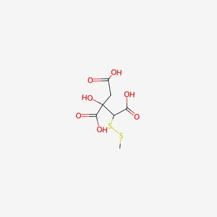 CSSC(C(=O)O)C(O)(CC(=O)O)C(=O)O